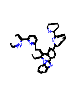 C/C=N\C(=C/C)c1cccc(C/C=c2\c(=C/C)n3c4ccccc4nc3c3ccc(-c4cccc(C5CC=CC=N5)n4)cc23)n1